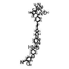 COC[C@@H]1N=C(c2ccc(C#CC3CC4(C3)CN(c3ccc(C(=O)NC5CCC(Oc6ccc(C#N)c(OC)c6)CC5)nn3)C4)cc2)c2c(sc(C)c2C)-n2c(C)nnc21